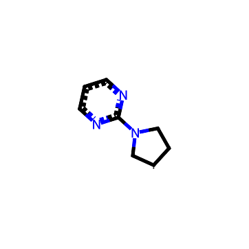 [CH]1CCN(c2ncccn2)C1